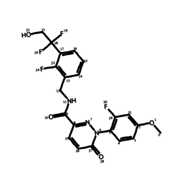 COc1ccc(-n2nc(C(=O)NCc3cccc(C(F)(F)CO)c3F)ccc2=O)c(F)c1